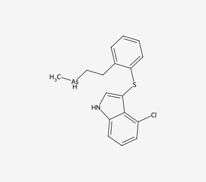 C[AsH]CCc1ccccc1Sc1c[nH]c2cccc(Cl)c12